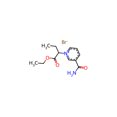 CCOC(=O)C(CC)[n+]1cccc(C(N)=O)c1.[Br-]